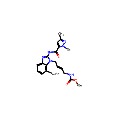 CCn1nc(C)cc1C(=O)Nc1nc2cccc(OC)c2n1C/C=C/CNC(=O)OC(C)(C)C